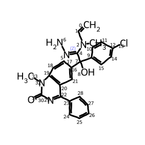 C=CN(C)/C(=N\N)C(O)(c1ccc(Cl)cc1)c1ccc2c(c1)c(-c1ccccc1)nc(=O)n2C